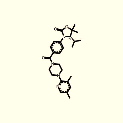 Cc1cnc(N2CCN(C(=O)c3ccc(N4C(=O)OC(C)(C)[C@H]4C(C)C)cc3)CC2)c(C)c1